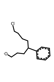 [O]CCCC(CCCCCl)c1ccccc1